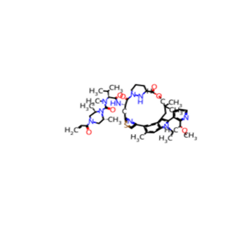 C=CC(=O)N1C[C@@H](C)N(C(=O)N(C)[C@H](C(=O)N[C@H]2Cc3nc(cs3)-c3cc4c(c(-c5cccnc5[C@H](C)OC)n(CC)c4cc3C)CC(C)(C)COC(=O)[C@@H]3CCCN(N3)C2=O)C(C)C)[C@H](C)C1